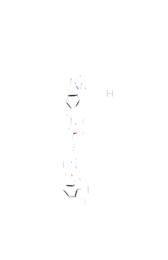 O=C(CCCCNCS(=O)(=O)c1cccc(Cl)c1Cl)CNCc1ccc(C2=NCCN2C(=O)O)cc1